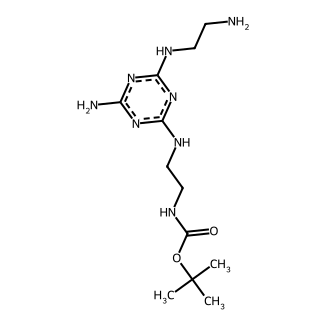 CC(C)(C)OC(=O)NCCNc1nc(N)nc(NCCN)n1